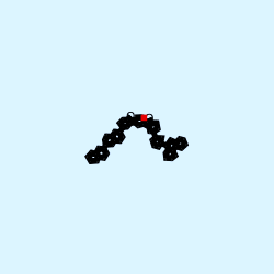 c1cc(-c2ccc3oc4cc5oc6ccc(-c7ccc8cc(-c9ccc%10ccccc%10c9)ccc8c7)cc6c5cc4c3c2)cc(-c2cc3ccccc3c3ccccc23)c1